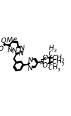 COC(=O)c1ccc2nnc(Cc3cccc(-c4ncc(B5OC(C)(C)C(C)(C)O5)cn4)c3)n2n1